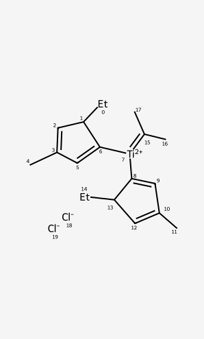 CCC1C=C(C)C=[C]1[Ti+2]([C]1=CC(C)=CC1CC)=[C](C)C.[Cl-].[Cl-]